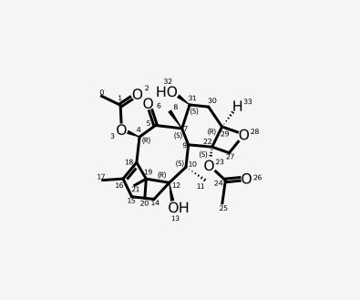 CC(=O)O[C@H]1C(=O)[C@@]2(C)C([C@H](C)[C@]3(O)CCC(C)=C1C3(C)C)[C@]1(OC(C)=O)CO[C@@H]1C[C@@H]2O